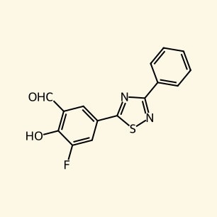 O=Cc1cc(-c2nc(-c3ccccc3)ns2)cc(F)c1O